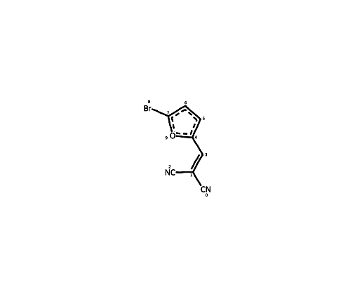 N#CC(C#N)=Cc1ccc(Br)o1